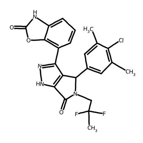 Cc1cc(C2c3c(-c4cccc5[nH]c(=O)oc45)n[nH]c3C(=O)N2CC(C)(F)F)cc(C)c1Cl